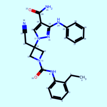 CCc1ccccc1NC(=O)N1CC(CC#N)(n2cc(C(N)=O)c(Nc3ccccc3)n2)C1